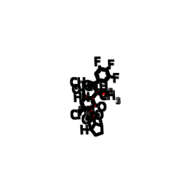 COC(=O)NC(C(=O)N[C@@H]1CC2CC[C@H](C1)C2S(=O)(=O)c1cc(C(=O)Nc2cc(F)c(F)c(F)c2)ccc1Cl)C(C)C